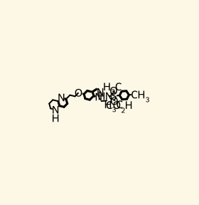 Cc1cc(C)c(S(=O)(=O)NC(Cn2ncc3cc(OCCc4ccc5c(n4)CCCN5)ccc32)C(=O)O)c(C)c1